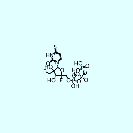 O=c1[nH]c(=S)ccn1[C@@H]1O[C@](F)(COP(=O)(O)OP(=O)(O)OP(=O)(O)O)[C@H](O)C1(O)CF